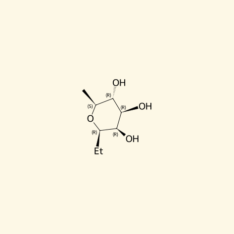 CC[C@H]1O[C@@H](C)[C@H](O)[C@@H](O)[C@H]1O